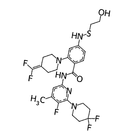 Cc1cc(NC(=O)c2ccc(NSCCO)cc2N2CCC(=C(F)F)CC2)nc(N2CCC(F)(F)CC2)c1F